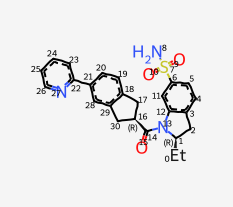 CC[C@@H]1Cc2ccc(S(N)(=O)=O)cc2N1C(=O)[C@@H]1Cc2ccc(-c3ccccn3)cc2C1